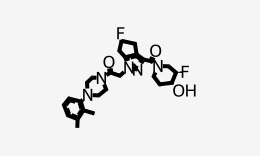 Cc1cccc(N2CCN(C(=O)Cn3nc(C(=O)N4CC[C@@H](O)[C@@H](F)C4)c4c3CC(F)C4)CC2)c1C